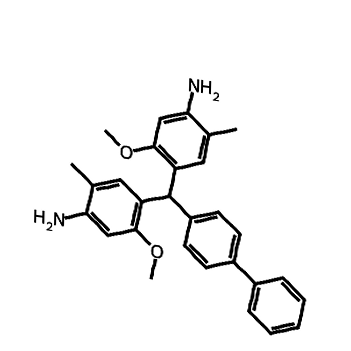 COc1cc(N)c(C)cc1C(c1ccc(-c2ccccc2)cc1)c1cc(C)c(N)cc1OC